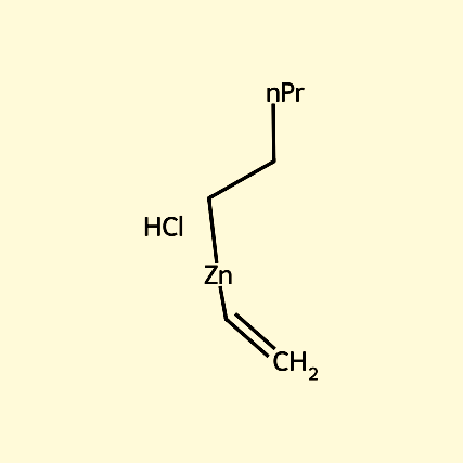 C=[CH][Zn][CH2]CCCC.Cl